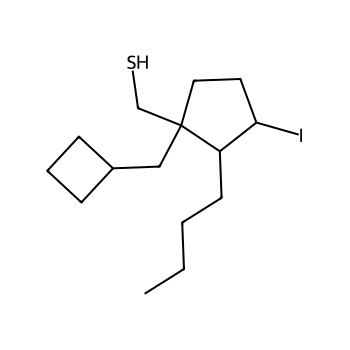 CCCCC1C(I)CCC1(CS)CC1CCC1